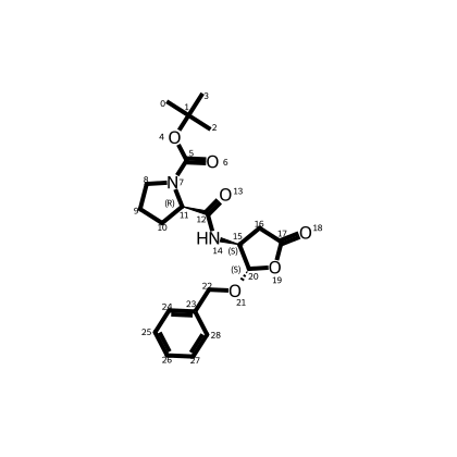 CC(C)(C)OC(=O)N1CCC[C@@H]1C(=O)N[C@H]1CC(=O)O[C@@H]1OCc1ccccc1